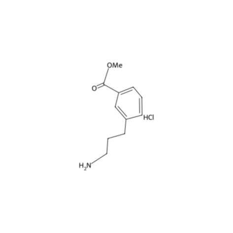 COC(=O)c1cccc(CCCN)c1.Cl